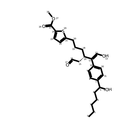 CCCCCC(O)c1ccc(/C(=C\O)[C@H](CC=O)CCCc2ccc(C(=O)OC)s2)cc1